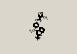 Cc1nocc1C(=O)N[C@H]1CC[C@@H](N(C)c2cc(C(F)(F)F)nc3ccccc23)CC1